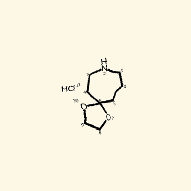 C1CNCCC2(C1)OCCO2.Cl